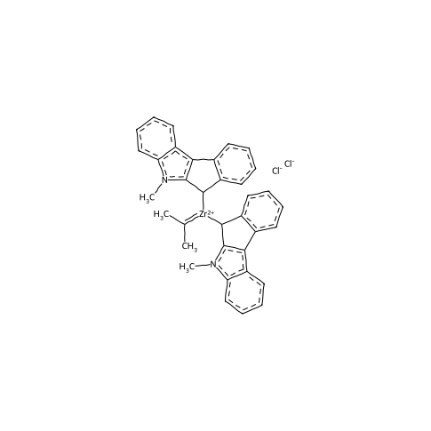 C[C](C)=[Zr+2]([CH]1c2ccccc2-c2c1n(C)c1ccccc21)[CH]1c2ccccc2-c2c1n(C)c1ccccc21.[Cl-].[Cl-]